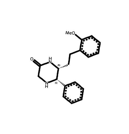 COc1ccccc1CC[C@H]1NC(=O)CN[C@H]1c1ccccc1